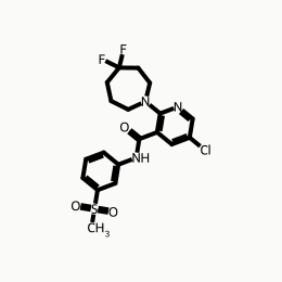 CS(=O)(=O)c1cccc(NC(=O)c2cc(Cl)cnc2N2CCCC(F)(F)CC2)c1